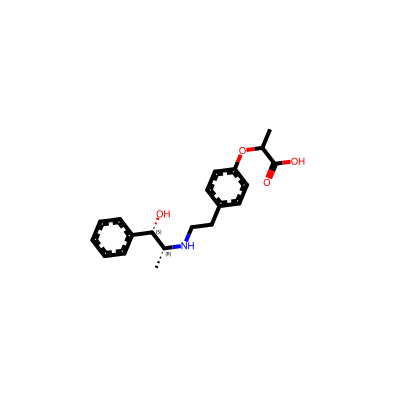 CC(Oc1ccc(CCN[C@H](C)[C@@H](O)c2ccccc2)cc1)C(=O)O